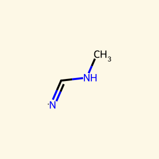 CNC=[N]